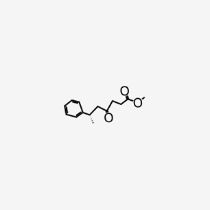 COC(=O)CCC(=O)C[C@H](C)c1ccccc1